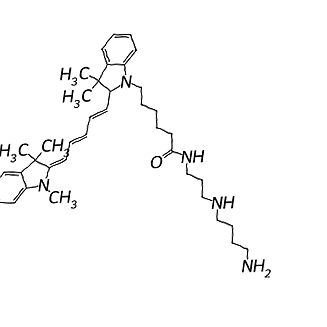 CN1/C(=C/C=C/C=C/C2N(CCCCCC(=O)NCCCNCCCCN)c3ccccc3C2(C)C)C(C)(C)c2ccccc21